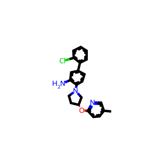 Cc1ccc(O[C@@H]2CCN(c3ccc(-c4ccccc4Cl)cc3N)C2)nc1